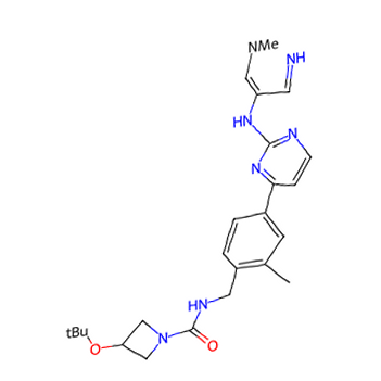 CN/C=C(\C=N)Nc1nccc(-c2ccc(CNC(=O)N3CC(OC(C)(C)C)C3)c(C)c2)n1